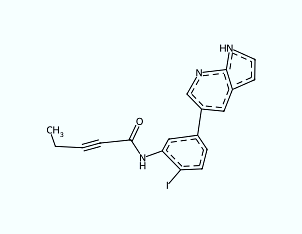 CCC#CC(=O)Nc1cc(-c2cnc3[nH]ccc3c2)ccc1I